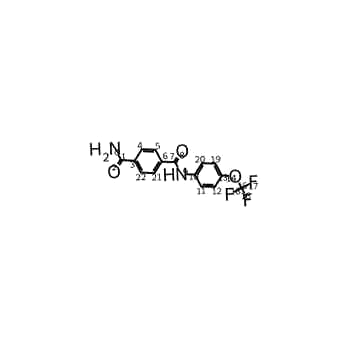 NC(=O)c1ccc(C(=O)Nc2ccc(OC(F)(F)F)cc2)cc1